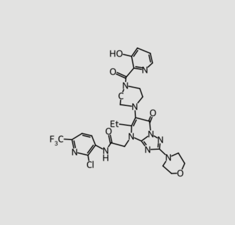 CCc1c(N2CCN(C(=O)c3ncccc3O)CC2)c(=O)n2nc(N3CCOCC3)nc2n1CC(=O)Nc1ccc(C(F)(F)F)nc1Cl